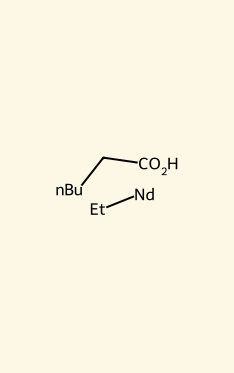 CCCCCC(=O)O.C[CH2][Nd]